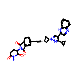 O=C1CCC(N2C(=O)c3ccc(C#C[C@H]4C[C@H](n5cc(-c6cnc7ccccc7n6)c(C6CC6)n5)C4)cc3C2=O)C(=O)N1